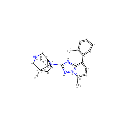 FC(F)(F)c1ccccc1-c1ccc(C(F)(F)F)n2nc(N3[C@H]4[C@H]5CC[C@]43CNC5)nc12